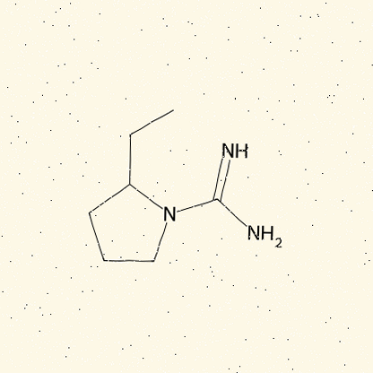 CCC1CCCN1C(=N)N